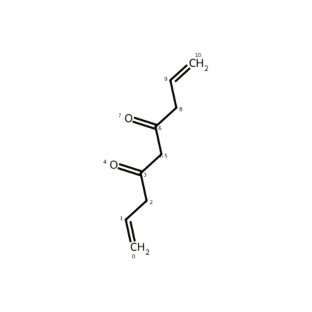 C=CCC(=O)[C]C(=O)CC=C